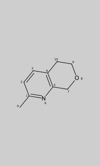 Cc1ccc2c(n1)COCC2